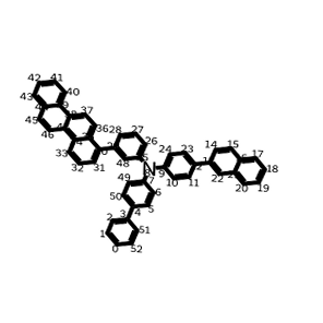 c1ccc(-c2ccc(N(c3ccc(-c4ccc5ccccc5c4)cc3)c3cccc(-c4cccc5c4ccc4c6ccccc6ccc54)c3)cc2)cc1